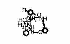 CN1C(=O)[C@H](C2CCCCC2)NCCOc2ccccc2/C=C/CNC(=O)[C@@H](Cc2ccc(Cl)cc2)NC(=O)[C@@H]1C(C)(C)O